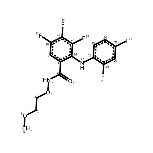 COCCONC(=O)c1cc(F)c(F)c(F)c1Nc1ccc(I)cc1F